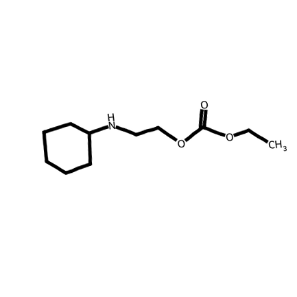 CCOC(=O)OCCNC1CCCCC1